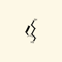 C=CC(=O)O.SCCCCS